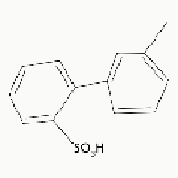 Cc1cc[c]c(-c2ccccc2S(=O)(=O)O)c1